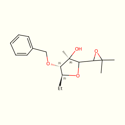 CC[C@@H]1OC(C2OC2(C)C)[C@](C)(O)[C@H]1OCc1ccccc1